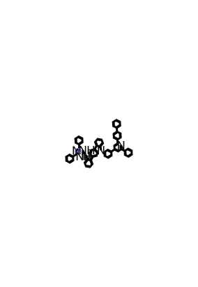 N=C(/N=C(\NCn1c2ccccc2c2cc3c(cc21)c1ccccc1n3-c1cccc(-c2cc(-c3ccccc3)nc(-c3ccc(-c4ccccc4)cc3)c2)c1)c1ccccc1)c1ccccc1